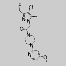 COc1ccnc(N2CCN(C(=O)Cn3nc(CF)c(Cl)c3C)CC2)c1